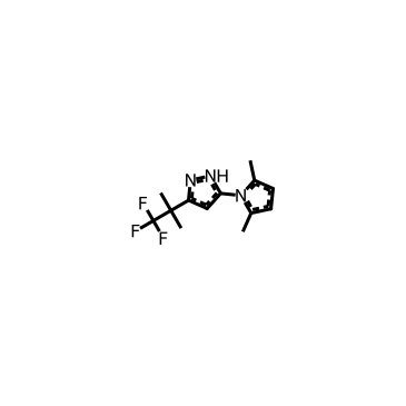 Cc1ccc(C)n1-c1cc(C(C)(C)C(F)(F)F)n[nH]1